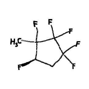 CC1(F)[C@H](F)CC(F)(F)C1(F)F